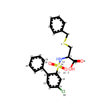 O=C(O)C(CSCc1ccccc1)NS(=O)(=O)c1cc(Cl)ccc1-c1ccccc1